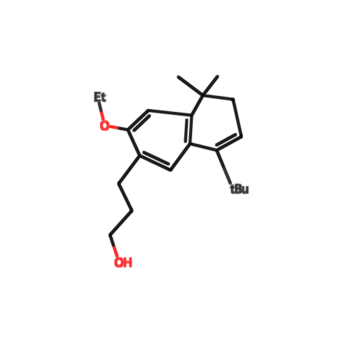 CCOc1cc2c(cc1CCCO)C(C(C)(C)C)=CCC2(C)C